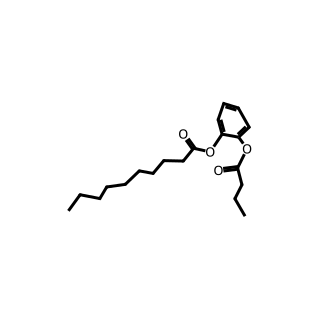 CCCCCCCCCC(=O)Oc1ccccc1OC(=O)CCC